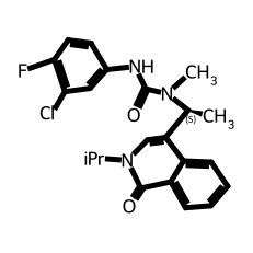 CC(C)n1cc([C@H](C)N(C)C(=O)Nc2ccc(F)c(Cl)c2)c2ccccc2c1=O